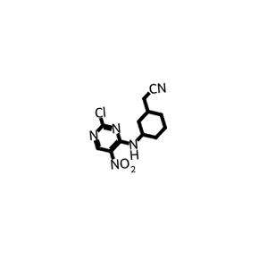 N#CCC1CCCC(Nc2nc(Cl)ncc2[N+](=O)[O-])C1